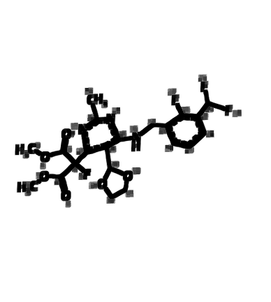 COC(=O)C(F)(C(=O)OC)c1nc(C)nc(NCc2cccc(C(F)F)c2F)c1C1OCCO1